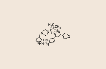 CC(C)(C)OC(=O)N1CCN(Cc2ccnc(Nc3nc4ccc(-c5cc(C6=CCOCC6)ncn5)cc4[nH]3)c2)CC1